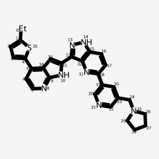 CCc1ccc(-c2ccnc3[nH]c(-c4n[nH]c5ccc(-c6cncc(CN7CCCC7)c6)nc45)cc23)s1